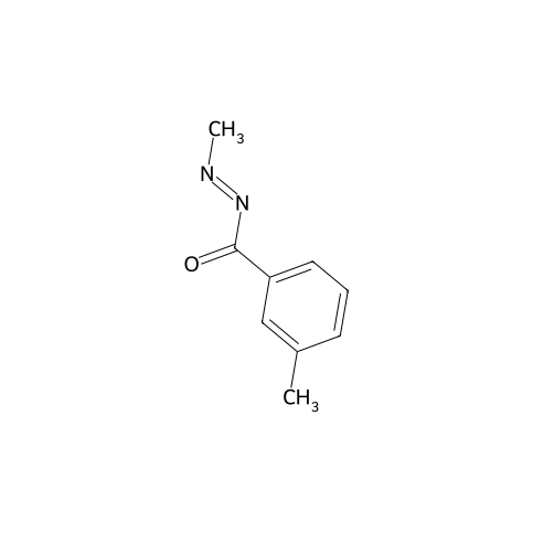 CN=NC(=O)c1cccc(C)c1